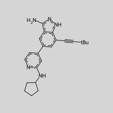 CC(C)(C)C#Cc1cc(-c2ccnc(NC3CCCC3)c2)cc2c(N)n[nH]c12